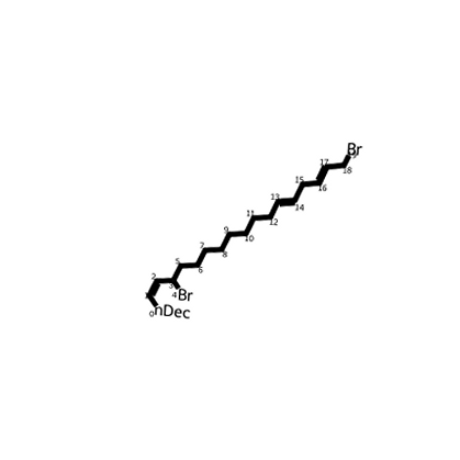 CCCCCCCCCC/C=C\C(Br)CCCCCCCCC=CCC=CCBr